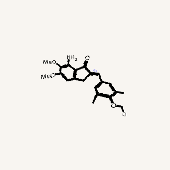 COc1cc2c(c(N)c1OC)C(=O)/C(=C/c1cc(C)c(OCCl)c(C)c1)C2